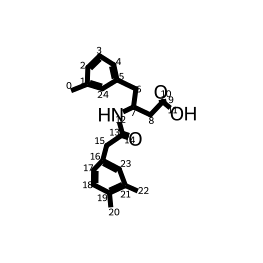 Cc1cccc(CC(CC(=O)O)NC(=O)Cc2ccc(C)c(C)c2)c1